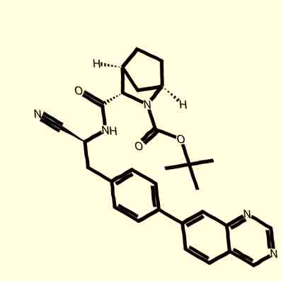 CC(C)(C)OC(=O)N1[C@@H]2CC[C@@H](C2)[C@H]1C(=O)N[C@H](C#N)Cc1ccc(-c2ccc3cncnc3c2)cc1